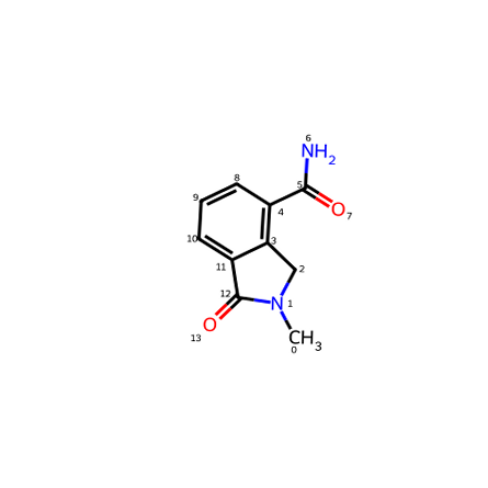 CN1Cc2c(C(N)=O)cccc2C1=O